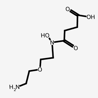 NCCOCCN(O)C(=O)CCC(=O)O